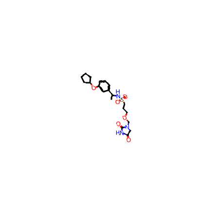 CC(NS(=O)(=O)CCCOCN1CC(=O)NC1=O)c1cccc(OC2CCCC2)c1